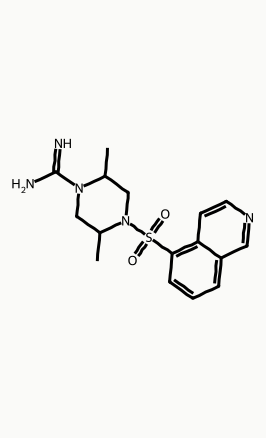 CC1CN(S(=O)(=O)c2cccc3cnccc23)C(C)CN1C(=N)N